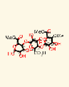 COC(=O)C1OC(O)C(O)C(O)C1OC1OC(C(=O)O)C(OC2OC(C(=O)OC)C(OC)C(O)C2O)C(O)C1O